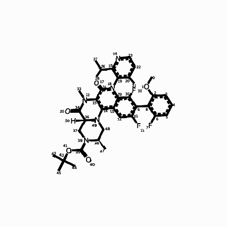 COc1cccc(F)c1-c1c(F)cc2c3c(c(=O)n(-c4c(C)ccnc4C(C)C)c2c1F)N(C)C(=O)[C@H]1CN(C(=O)OC(C)(C)C)[C@H](C)CN31